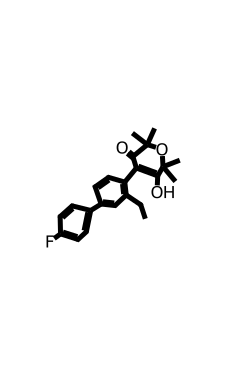 CCc1cc(-c2ccc(F)cc2)ccc1C1=C(O)C(C)(C)OC(C)(C)C1=O